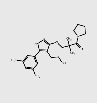 Cc1cc(C)cc(-c2[nH]nc(OCC(C)(C)C(=O)N3CCCC3)c2CCO)c1